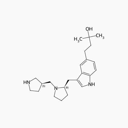 CC(C)(O)CCc1ccc2[nH]cc(C[C@H]3CCCN3C[C@H]3CCNC3)c2c1